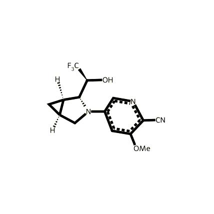 COc1cc(N2C[C@H]3C[C@H]3[C@@H]2[C@H](O)C(F)(F)F)cnc1C#N